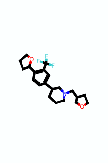 FC(F)(F)c1cc(C2CCCN(CC3CCOC3)C2)ccc1C1CCCO1